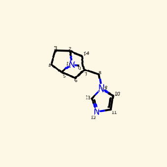 CN1C2CCC1CC(Cn1ccnc1)C2